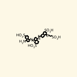 Nc1ccc(N=Nc2ccc(N=Nc3ccc4c(OCCCS(=O)(=O)O)cc(S(=O)(=O)O)cc4c3)c3ccc(S(=O)(=O)O)cc23)c2ccc(S(=O)(=O)O)cc12